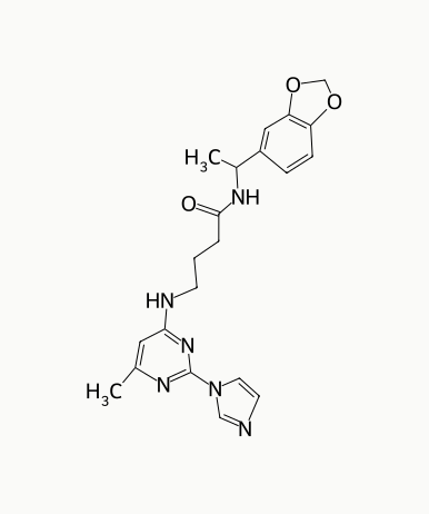 Cc1cc(NCCCC(=O)NC(C)c2ccc3c(c2)OCO3)nc(-n2ccnc2)n1